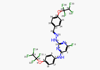 Fc1cc(Nc2ccc(OC(F)(F)C(F)F)cc2)nc(NN=Cc2ccc(OC(F)(F)C(F)F)cc2)n1